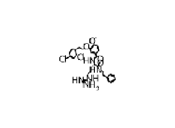 COc1ccc(C(=O)N[C@@H](CCCNC(=N)N)C(=O)NCCc2ccccc2)cc1OCCc1ccc(Cl)cc1Cl